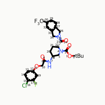 CC(C)(C)OC(=O)N1C[C@@H](NC(=O)COc2ccc(Cl)c(F)c2)CC[C@@H]1C(=O)N1Cc2ccc(C(F)(F)F)cc2C1